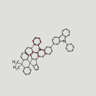 CC1(C)c2ccccc2C2(c3ccccc3-c3cc(N(c4cccc(-c5ccc6c7ccccc7n(-c7ccccc7)c6c5)c4)c4ccccc4-c4ccccc4-c4ccccc4-c4ccccc4)ccc32)c2ccccc21